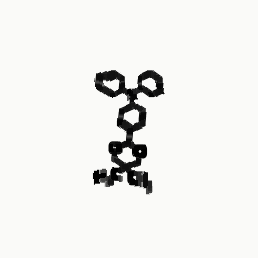 CC1(C)COC(c2ccc(N(c3ccccc3)c3ccccc3)cc2)OC1